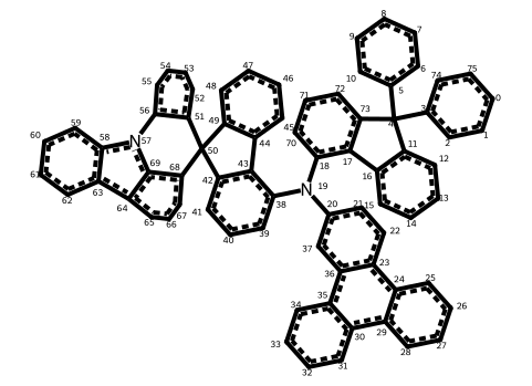 c1ccc(C2(c3ccccc3)c3ccccc3-c3c(N(c4ccc5c6ccccc6c6ccccc6c5c4)c4cccc5c4-c4ccccc4C54c5ccccc5-n5c6ccccc6c6cccc4c65)cccc32)cc1